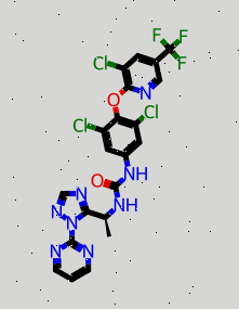 C[C@H](NC(=O)Nc1cc(Cl)c(Oc2ncc(C(F)(F)F)cc2Cl)c(Cl)c1)c1ncnn1-c1ncccn1